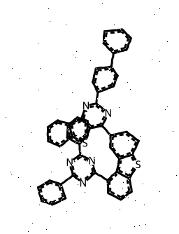 c1ccc(-c2ccc(-c3nc(-c4ccc5sc6cccc(-c7nc(-c8ccccc8)nc(-c8ccccc8)n7)c6c5c4)c4sc5ccccc5c4n3)cc2)cc1